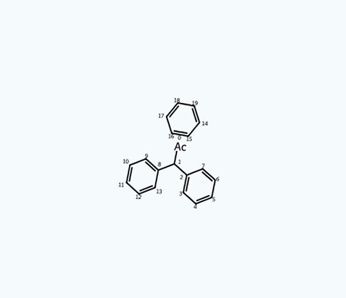 CC(=O)C(c1ccccc1)c1ccccc1.c1ccccc1